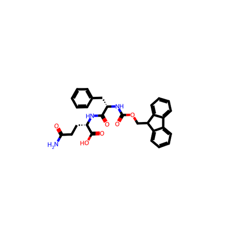 NC(=O)CC[C@H](NC(=O)[C@H](Cc1ccccc1)NC(=O)OCC1c2ccccc2-c2ccccc21)C(=O)O